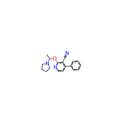 CC(Oc1nccc(-c2ccccc2)c1C#N)N1CCCC1